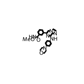 CONC(=O)c1cccc(-c2cn3ccnc3c(Nc3ccc(N4CCOCC4)cc3)n2)c1